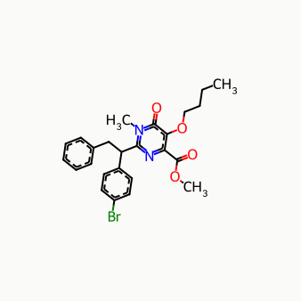 CCCCOc1c(C(=O)OC)nc(C(Cc2ccccc2)c2ccc(Br)cc2)n(C)c1=O